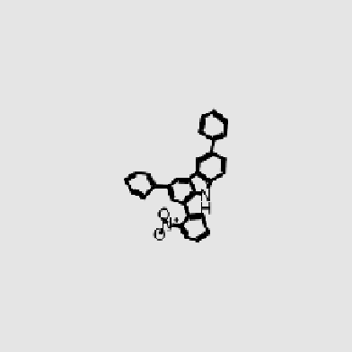 O=[N+]([O-])c1ccccc1-c1cc(-c2ccccc2)cc2c1[nH]c1ccc(-c3ccccc3)cc12